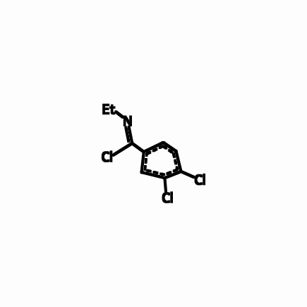 CCN=C(Cl)c1ccc(Cl)c(Cl)c1